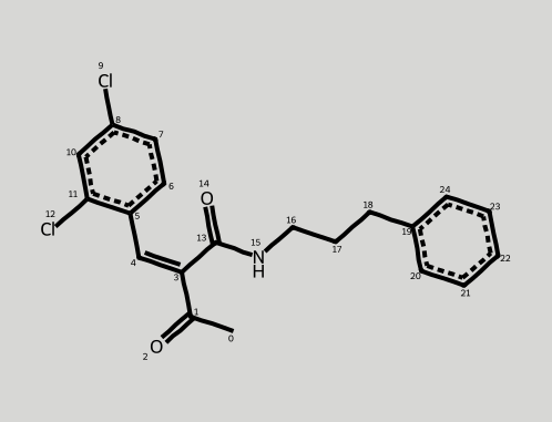 CC(=O)/C(=C/c1ccc(Cl)cc1Cl)C(=O)NCCCc1ccccc1